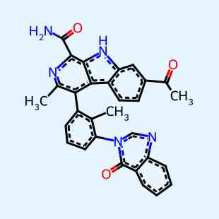 CC(=O)c1ccc2c(c1)[nH]c1c(C(N)=O)nc(C)c(-c3cccc(-n4cnc5ccccc5c4=O)c3C)c12